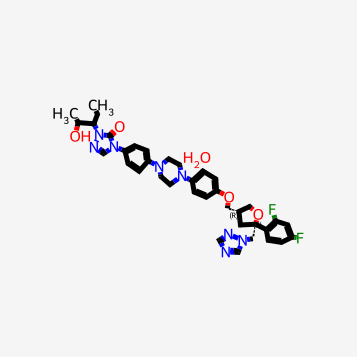 CCC(C(C)O)n1ncn(-c2ccc(N3CCN(c4ccc(OC[C@@H]5CO[C@@](Cn6cncn6)(c6ccc(F)cc6F)C5)cc4)CC3)cc2)c1=O.O